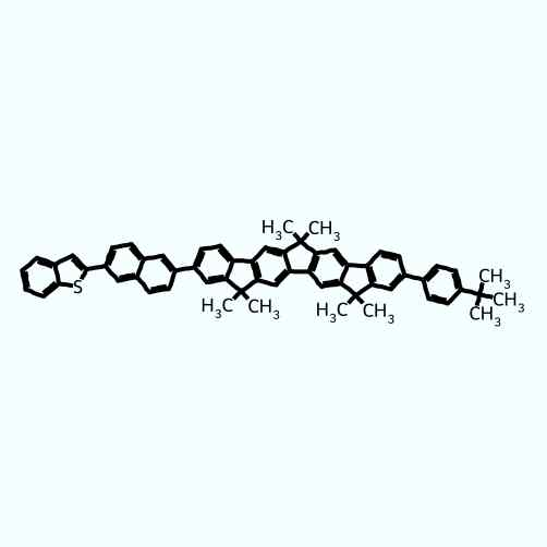 CC(C)(C)c1ccc(-c2ccc3c(c2)C(C)(C)c2cc4c(cc2-3)C(C)(C)c2cc3c(cc2-4)C(C)(C)c2cc(-c4ccc5cc(-c6cc7ccccc7s6)ccc5c4)ccc2-3)cc1